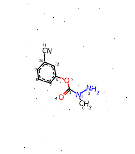 CN(N)C(=O)Oc1cccc(C#N)c1